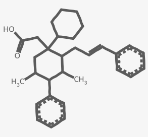 CC1CC(CC(=O)O)(C2CCCCC2)C(CC=Cc2ccccc2)C(C)C1c1ccccc1